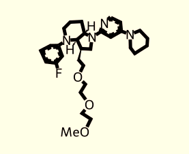 COCCOCCOCC[C@@H]1CN(c2cc(N3CCCCC3)ccn2)[C@@H]2CCCN(c3cccc(F)c3)[C@H]12